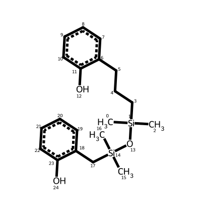 C[Si](C)(CCCc1ccccc1O)O[Si](C)(C)Cc1ccccc1O